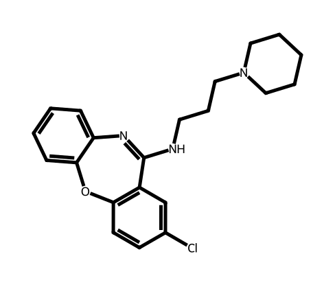 Clc1ccc2c(c1)C(NCCCN1CCCCC1)=Nc1ccccc1O2